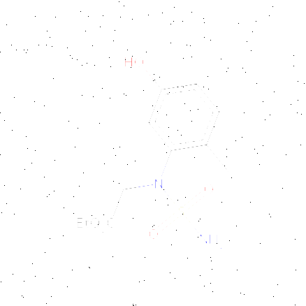 CCOC(=O)CN(c1cc(O)ccc1C)S(N)(=O)=O